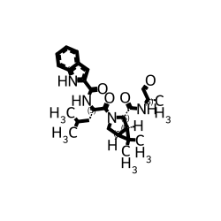 CC(C)C[C@H](NC(=O)c1cc2ccccc2[nH]1)C(=O)N1C[C@H]2[C@@H]([C@H]1C(=O)N[C@@H](C)C=O)C2(C)C